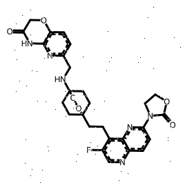 O=C1COc2ccc(CNC34CCC(CCc5c(F)cnc6ccc(N7CCOC7=O)nc56)(CC3)OC4)nc2N1